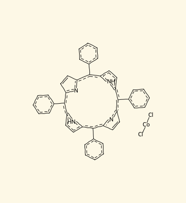 C1=Cc2nc1c(-c1ccccc1)c1ccc([nH]1)c(-c1ccccc1)c1nc(c(-c3ccccc3)c3ccc([nH]3)c2-c2ccccc2)C=C1.[Cl][Co][Cl]